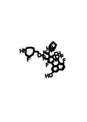 C#Cc1c(F)ccc2cc(O)cc(-c3nc(C)c4c(N5CC6CCC(C5)N6)nc(OCC5CCCNC[C@H](F)C5)nc4c3F)c12